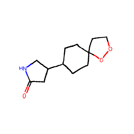 O=C1CC(C2CCC3(CCOO3)CC2)CN1